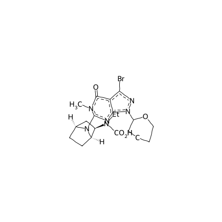 CCN(C(=O)O)[C@@H]1C[C@@H]2CC[C@H]1N2c1nc2c(c(Br)nn2C2CCCCO2)c(=O)n1C